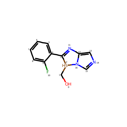 OC[SH]1C(c2ccccc2F)=Nc2cncn21